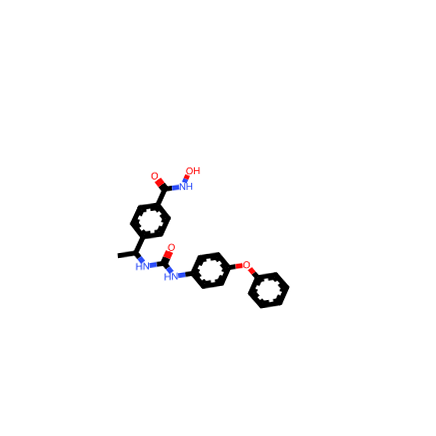 CC(NC(=O)Nc1ccc(Oc2ccccc2)cc1)c1ccc(C(=O)NO)cc1